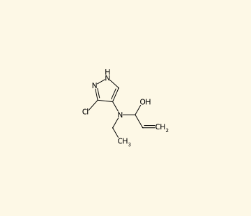 C=CC(O)N(CC)c1c[nH]nc1Cl